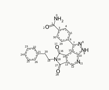 NC(=O)c1ccc(-c2n[nH]c3ncc4c(c23)C(=O)N(CCc2ccccc2)C4=O)cc1